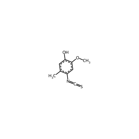 COc1cc(N=C=S)c(C)cc1O